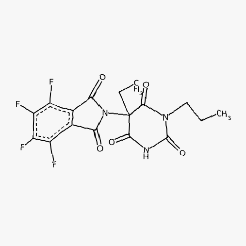 CCCN1C(=O)NC(=O)C(CC)(N2C(=O)c3c(F)c(F)c(F)c(F)c3C2=O)C1=O